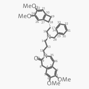 COc1cc2c(cc1OC)CC(=O)N(CCCN(CC[C@H]1Cc3cc(OC)c(OC)cc31)Cc1ccccc1)C=C2